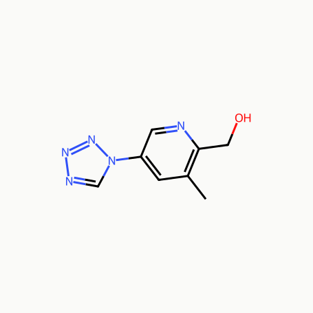 Cc1cc(-n2cnnn2)cnc1CO